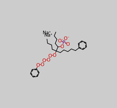 CCCCC(OP(=O)([O-])[O-])C(CCCC)(CCCCCc1ccccc1)OOOOOOc1ccccc1.[Na+].[Na+]